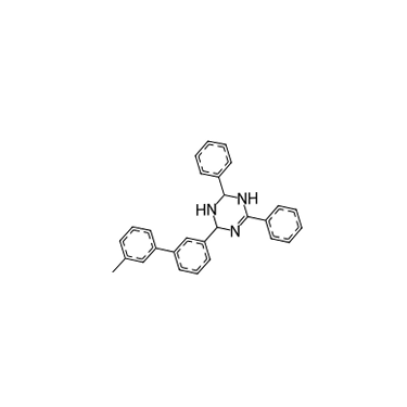 Cc1cccc(-c2cccc(C3N=C(c4ccccc4)NC(c4ccccc4)N3)c2)c1